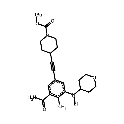 CCN(c1cc(C#CC2CCN(C(=O)OC(C)(C)C)CC2)cc(C(N)=O)c1C)C1CCOCC1